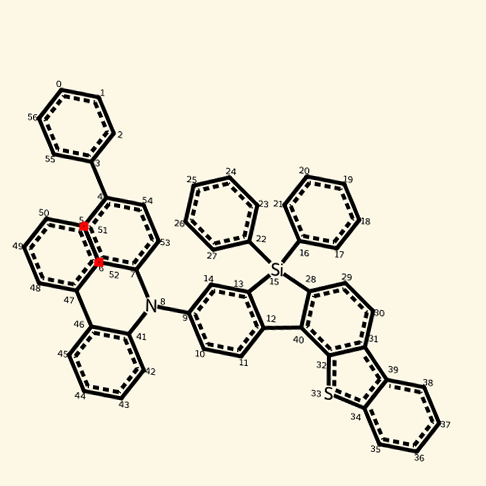 c1ccc(-c2ccc(N(c3ccc4c(c3)[Si](c3ccccc3)(c3ccccc3)c3ccc5c(sc6ccccc65)c3-4)c3ccccc3-c3ccccc3)cc2)cc1